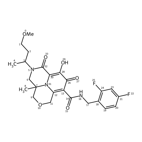 COCCC(C)N1CC2(C)COCc3c(C(=O)NCc4ccc(F)cc4F)c(=O)c(O)c(n32)C1=O